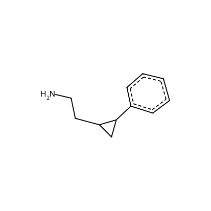 NCCC1CC1c1ccccc1